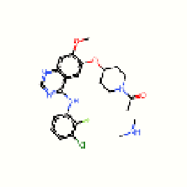 CNC.COc1cc2ncnc(Nc3cccc(Cl)c3F)c2cc1OC1CCN(C(C)=O)CC1